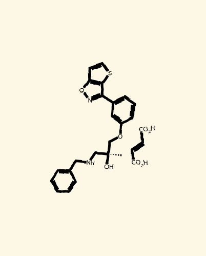 C[C@](O)(CNCc1ccccc1)COc1cccc(-c2noc3ccsc23)c1.O=C(O)C=CC(=O)O